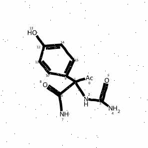 CC(=O)C(NC(N)=O)(C([NH])=O)c1ccc(O)cc1